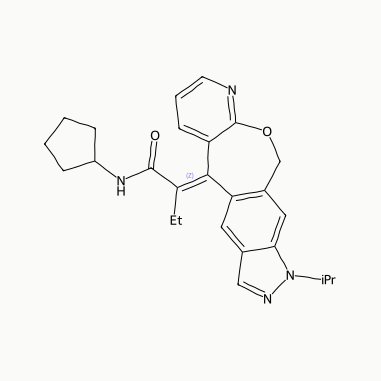 CC/C(C(=O)NC1CCCC1)=C1\c2cc3cnn(C(C)C)c3cc2COc2ncccc21